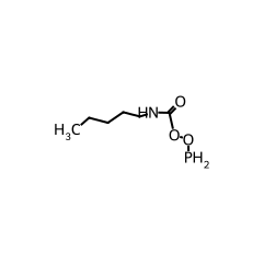 CCCCCNC(=O)OOP